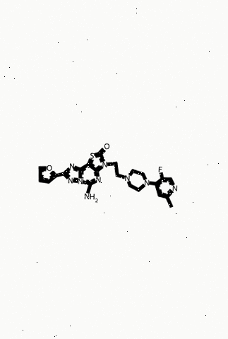 Cc1cc(N2CCN(CCn3c(=O)sc4c3nc(N)n3nc(-c5ccco5)nc43)CC2)c(F)cn1